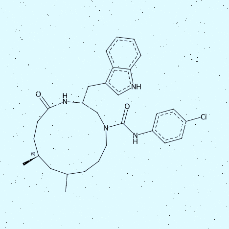 CC1CCCN(C(=O)Nc2ccc(Cl)cc2)CC(Cc2c[nH]c3ccccc23)NC(=O)CC[C@H](C)C1